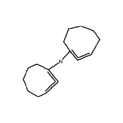 C1=CCCCCC[C]=1[Ni][C]1=C=CCCCCC1